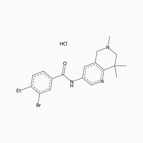 CCc1ccc(C(=O)Nc2cnc3c(c2)CN(C)CC3(C)C)cc1Br.Cl